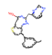 Cc1cccc(-c2csc3c(O)nc(-c4ccncn4)nc23)c1